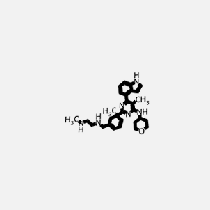 CNCCNCC1=CC=CC(C)(c2nc(NC3CCOCC3)c(C)c(-c3cccc4[nH]ccc34)n2)C1